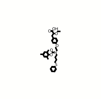 CCOC(Cc1ccc(OCCN(CCCCSc2ccccc2)C(=O)Oc2c(C)cc(C)cc2C)cc1)C(=O)O